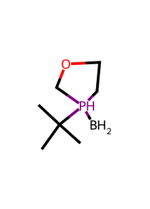 B[PH]1(C(C)(C)C)CCOC1